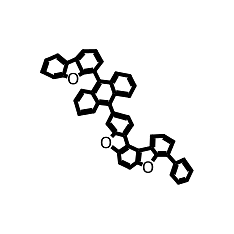 c1ccc(-c2cccc3c2oc2ccc4oc5cc(-c6c7ccccc7c(-c7cccc8c7oc7ccccc78)c7ccccc67)ccc5c4c23)cc1